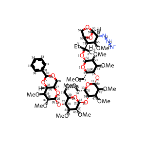 CCC(C)(O[C@@H]1O[C@@H](COC)[C@@H](O[C@H]2O[C@@H](COC)[C@@H](O[C@@H]3OC(COC)[C@@H](O[C@@H]4OC5COC(c6ccccc6)O[C@H]5C(OC)[C@@H]4OC)C(OC)[C@@H]3OC)C(OC)C2OC)C(OC)C1OC)[C@H]1C2CO[C@H](O2)[C@@H](N=[N+]=[N-])C1OC